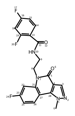 Cn1ncc2c(=O)n(CCNC(=O)c3ccc(F)cc3F)c3cc(F)ccc3c21